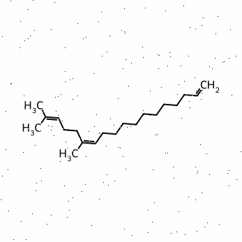 C=CCCCCCCCC[CH]C=C(C)CCC=C(C)C